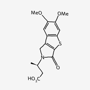 COc1cc2sc3c(c2cc1OC)CN([C@H](C)CC(=O)O)C3=O